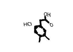 Cc1ccc(CC(=O)O)cc1C.Cl